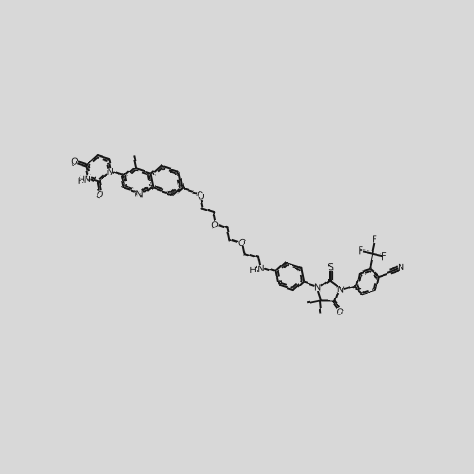 Cc1c(-n2ccc(=O)[nH]c2=O)cnc2cc(OCCOCCOCCNc3ccc(N4C(=S)N(c5ccc(C#N)c(C(F)(F)F)c5)C(=O)C4(C)C)cc3)ccc12